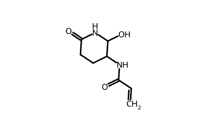 C=CC(=O)NC1CCC(=O)NC1O